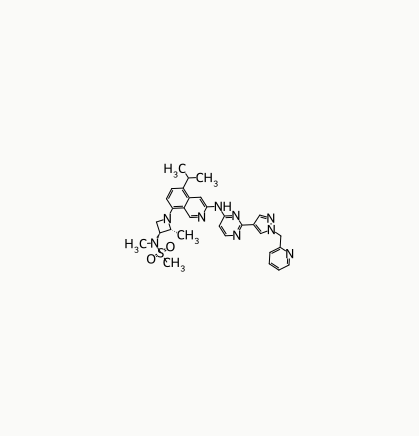 CC(C)c1ccc(N2C[C@H](N(C)S(C)(=O)=O)[C@H]2C)c2cnc(Nc3ccnc(-c4cnn(Cc5ccccn5)c4)n3)cc12